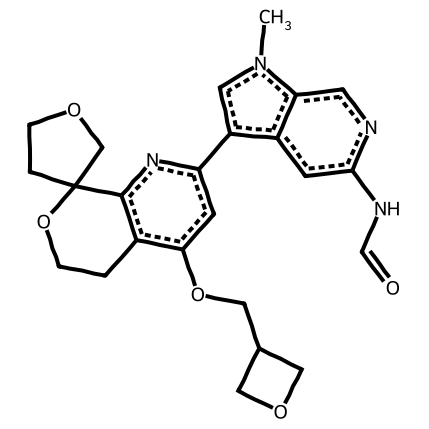 Cn1cc(-c2cc(OCC3COC3)c3c(n2)C2(CCOC2)OCC3)c2cc(NC=O)ncc21